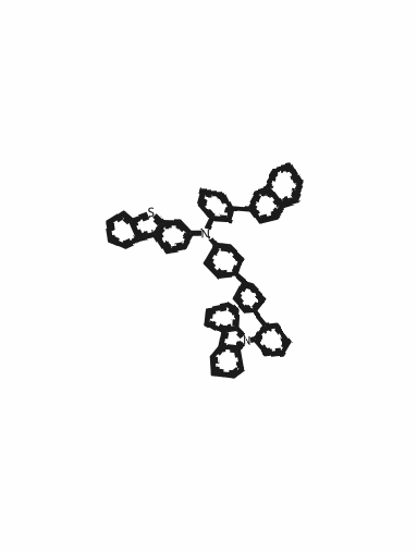 c1cc(-c2ccc3ccccc3c2)cc(N(c2ccc(-c3ccc(-c4ccccc4-n4c5ccccc5c5ccccc54)cc3)cc2)c2ccc3c(c2)sc2ccccc23)c1